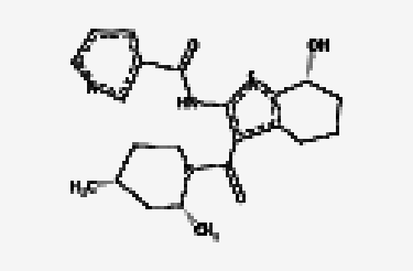 C[C@@H]1CCN(C(=O)c2c(NC(=O)c3cccnc3)sc3c2CCC[C@H]3O)[C@H](C)C1